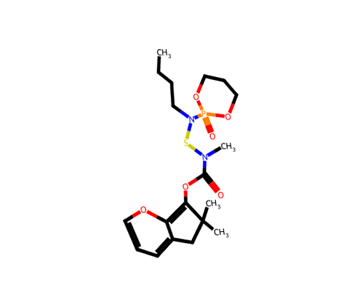 CCCCN(SN(C)C(=O)OC1=C2OC=CC=C2CC1(C)C)P1(=O)OCCCO1